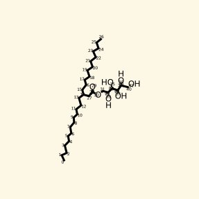 CCCCCCCCCCCCCCC(CCCCCCCCCCCC)CC(=O)OC[C@@H](O)[C@@H](O)[C@H](O)[C@H](O)CO